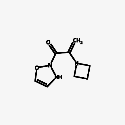 C=C(C(=O)N1NC=CO1)N1CCC1